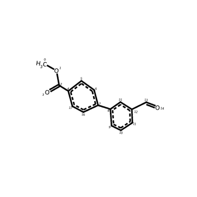 COC(=O)c1ccc(-c2cccc(C=O)c2)cc1